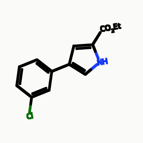 CCOC(=O)c1cc(-c2cccc(Cl)c2)c[nH]1